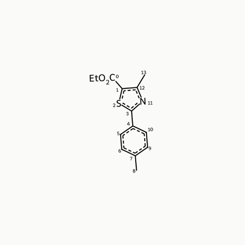 CCOC(=O)c1sc(-c2ccc(C)cc2)nc1C